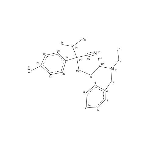 CCN(Cc1ccccc1)C(C)CCC(C#N)(c1ccc(Cl)cc1)C(C)C